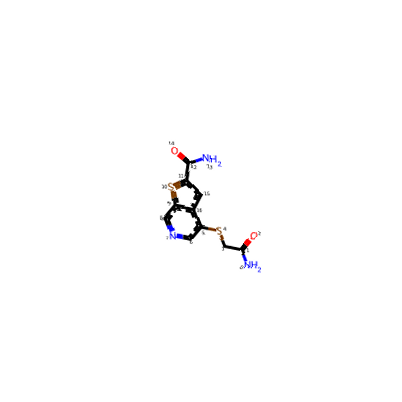 NC(=O)CSc1cncc2sc(C(N)=O)cc12